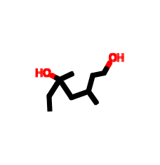 CCC(C)(O)CC(C)CCO